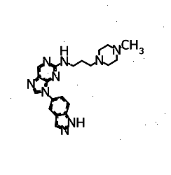 CN1CCN(CCCNc2ncc3ncn(-c4ccc5[nH]ncc5c4)c3n2)CC1